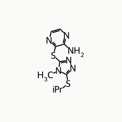 CC(C)Sc1nnc(Sc2nccnc2N)n1C